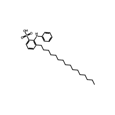 CCCCCCCCCCCCCCCCc1cccc(S(=O)(=O)O)c1Pc1ccccc1